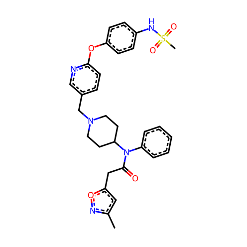 Cc1cc(CC(=O)N(c2ccccc2)C2CCN(Cc3ccc(Oc4ccc(NS(C)(=O)=O)cc4)nc3)CC2)on1